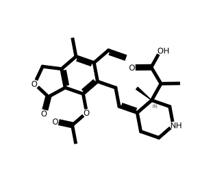 C=Cc1c(C)c2c(c(OC(C)=O)c1CC=C1CCNC[C@@]1(C)C(C)C(=O)O)C(=O)OC2